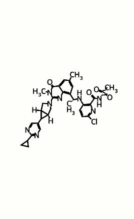 Cc1cc([C@@H](C)Nc2ccc(Cl)nc2C(=O)NS(C)(=O)=O)c2nc(N3C[C@@H]4C(c5cnc(C6CC6)nc5)[C@@H]4C3)n(C)c(=O)c2c1